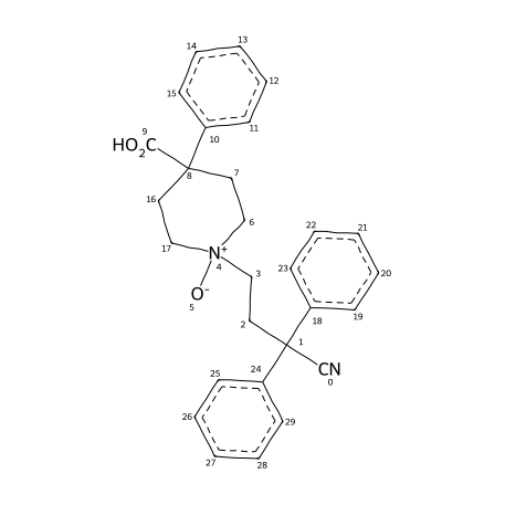 N#CC(CC[N+]1([O-])CCC(C(=O)O)(c2ccccc2)CC1)(c1ccccc1)c1ccccc1